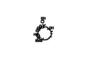 C=C1C[C@H](O)/C(C)=C/C[C@@H]([C@H](C)C[C@H]2CC[C@H](O)CC2)OC(=O)[C@@H]2CCCCN2C(=O)C[C@]2(O)O[C@@H](CC[C@H]2C)C[C@H](OC)/C(C)=C/C=C/C=C/[C@@H](C)C[C@H]1C